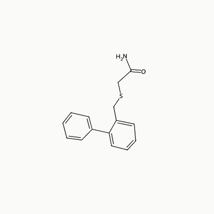 NC(=O)CSCc1ccccc1-c1ccccc1